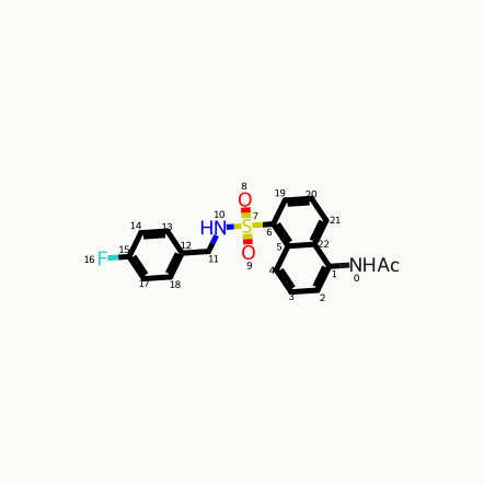 CC(=O)Nc1cccc2c(S(=O)(=O)NCc3ccc(F)cc3)cccc12